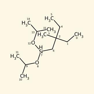 CCC(C)(CC)C[SiH](OC(C)C)OC(C)C